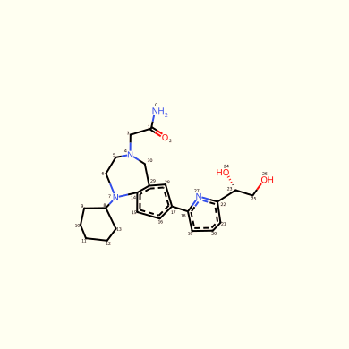 NC(=O)CN1CCN(C2CCCCC2)c2ccc(-c3cccc([C@H](O)CO)n3)cc2C1